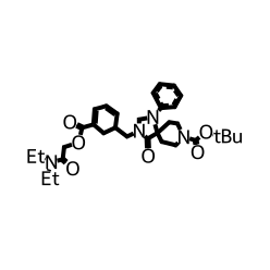 CCN(CC)C(=O)COC(=O)C1=CC=CC(CN2CN(c3ccccc3)C3(CCN(C(=O)OC(C)(C)C)CC3)C2=O)C1